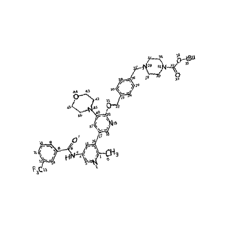 Cc1ncc(NC(=O)c2cccc(C(F)(F)F)c2)cc1-c1cnc(OCc2ccc(CN3CCN(C(=O)OC(C)(C)C)CC3)cc2)c(N2CCOCC2)c1